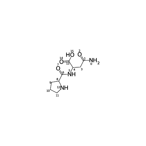 NC(=O)CC(NC(=O)C1CCCN1)C(=O)O